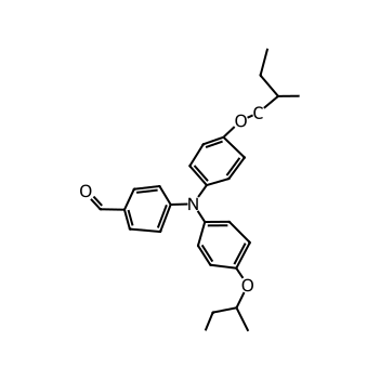 CCC(C)COc1ccc(N(c2ccc(C=O)cc2)c2ccc(OC(C)CC)cc2)cc1